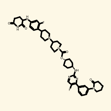 O=C1CCC(Nc2ccc(C3CCN(C4CCN(C(=O)O[C@H]5CC[C@H](Nc6ncc(F)c(-c7cccc(N8CCCCC8=O)c7)n6)CC5)CC4)CC3)c(F)c2)C(=O)N1